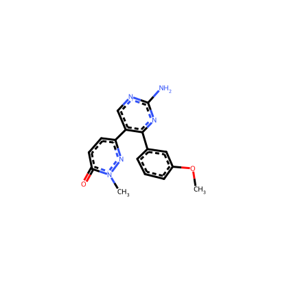 COc1cccc(-c2nc(N)ncc2-c2ccc(=O)n(C)n2)c1